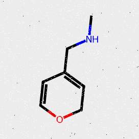 CNCC1=CCOC=C1